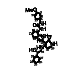 COc1ccc(NC(=O)Nc2cccc3nc(-c4c(NC[C@@H](O)c5ccccc5)cc[nH]c4=O)[nH]c23)cc1